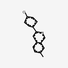 Cc1ccc2cc(-c3ccc(Cl)cc3)ncc2c1